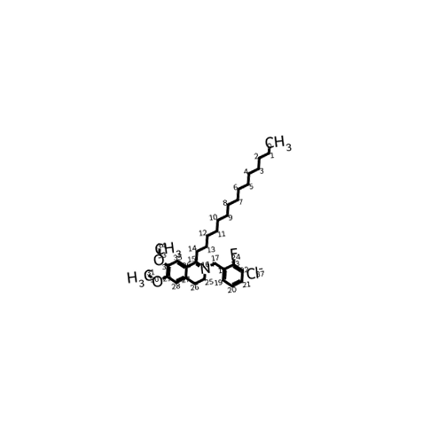 CCCCCCCCCCCCCCCC1=[N+](Cc2ccccc2F)CCc2cc(OC)c(OC)cc21.[Cl-]